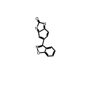 O=C1N=c2[c]c(-c3noc4ccccc34)ccc2=N1